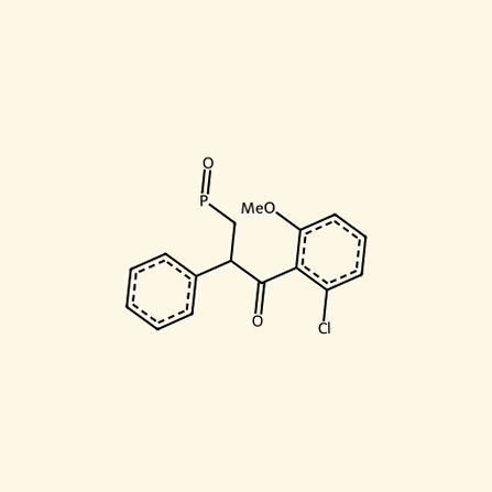 COc1cccc(Cl)c1C(=O)C(CP=O)c1ccccc1